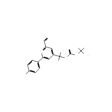 C=Cc1cc(C(C)(C)NC(=O)OC(C)(C)C)cc(-c2ccc(F)cc2)n1